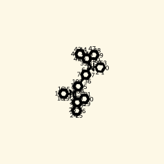 C1=CCC(N(c2ccc(-c3ccc(N(c4ccccc4)c4cc5ccccc5c5ccccc45)cc3)cc2)c2cc3ccccc3c3ccccc23)C=C1